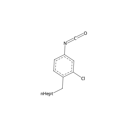 CCCCCCCCc1ccc(N=C=O)cc1Cl